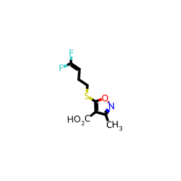 Cc1noc(SCCC=C(F)F)c1C(=O)O